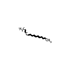 CCC=C=CCCC=CC=CC=CCC